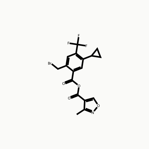 Cc1nocc1C(=O)OC(=O)c1cc(C2CC2)c(C(F)(F)F)cc1CBr